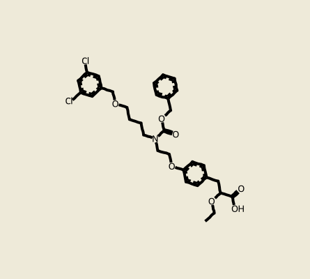 CCOC(Cc1ccc(OCCN(CCCCOCc2cc(Cl)cc(Cl)c2)C(=O)OCc2ccccc2)cc1)C(=O)O